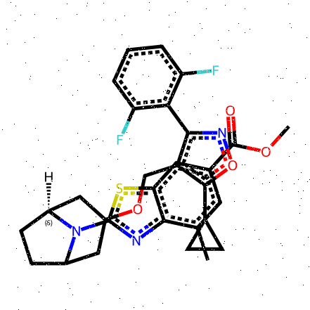 COC(=O)c1cc(C)c2nc(N3C4CC[C@H]3CC(OCc3c(-c5c(F)cccc5F)noc3C3CC3)C4)sc2c1